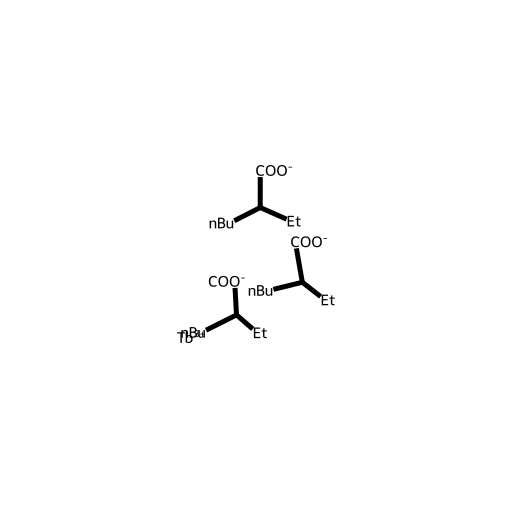 CCCCC(CC)C(=O)[O-].CCCCC(CC)C(=O)[O-].CCCCC(CC)C(=O)[O-].[Tb+3]